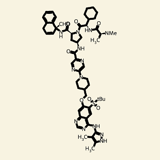 CN[C@@H](C)C(=O)N[C@H](C(=O)N1C[C@@H](NC(=O)c2cnc(N3CCC(COc4cc5ncnc(Nc6n[nH]c(C)c6C)c5cc4S(=O)(=O)C(C)(C)C)CC3)cn2)C[C@H]1C(=O)N[C@]1(C=O)C=CCc2ccccc21)C1CCCCC1